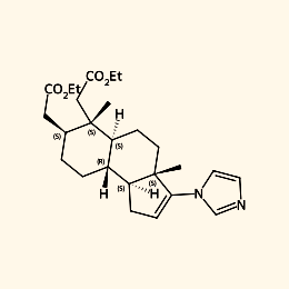 CCOC(=O)C[C@@H]1CC[C@@H]2[C@H](CC[C@]3(C)C(n4ccnc4)=CC[C@@H]23)[C@@]1(C)CC(=O)OCC